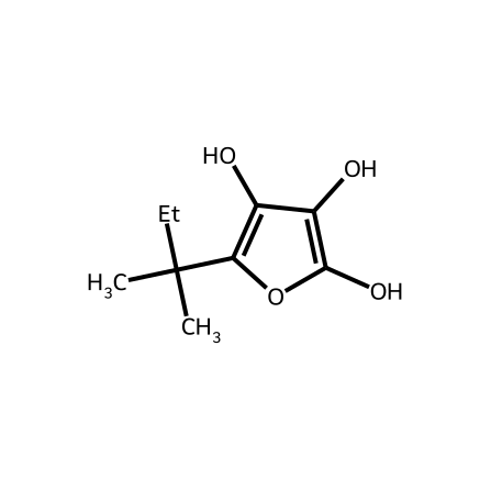 CCC(C)(C)c1oc(O)c(O)c1O